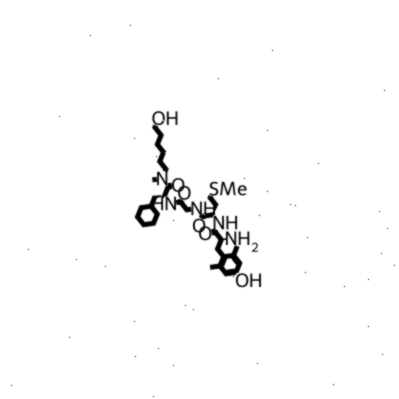 CSCC[C@@H](NC(=O)[C@H](N)Cc1c(C)cc(O)cc1C)C(=O)NCC(=O)N[C@@H](CC1CCCCC1)C(=O)N(C)CCCCCCO